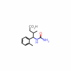 Cc1ccccc1C(NC(N)=O)C(C)CC(=O)O